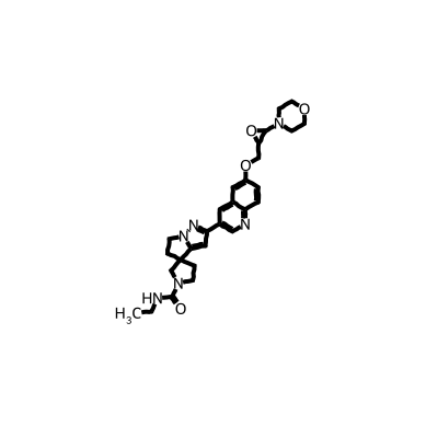 CCNC(=O)N1CCC2(CCn3nc(-c4cnc5ccc(OCC6OC6N6CCOCC6)cc5c4)cc32)C1